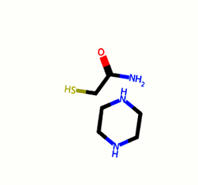 C1CNCCN1.NC(=O)CS